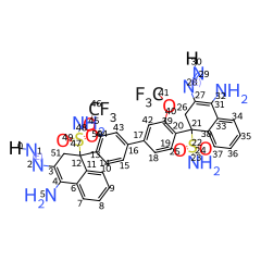 [H]/N=N/C1=C(N)c2ccccc2C(c2ccc(-c3ccc(C4(S(N)(=O)=O)CC(/N=N/[H])=C(N)c5ccccc54)c(OC(F)(F)F)c3)cc2OC(F)(F)F)(S(N)(=O)=O)C1